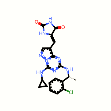 C[C@@H](Nc1nc(NC2CC2)n2ncc(/C=C3\NC(=O)NC3=O)c2n1)c1ccccc1Cl